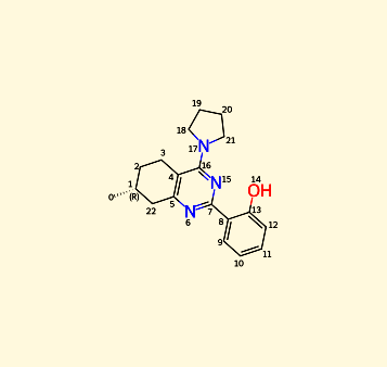 C[C@@H]1CCc2c(nc(-c3ccccc3O)nc2N2CCCC2)C1